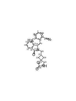 Cc1ncnc(C#N)c1C[C@@H]1c2ccccc2C(=O)N1CC1CC2(CNC(=O)O2)C1